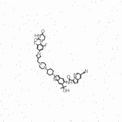 CC(C)(O)c1cc2nn([C@H]3CC[C@H](N4CCN(CC5CN(c6cc(F)c(N7CCC(=O)NC7=O)c(F)c6)C5)CC4)CC3)cc2cc1NC(=O)c1ccc2cc(C#N)cnn12